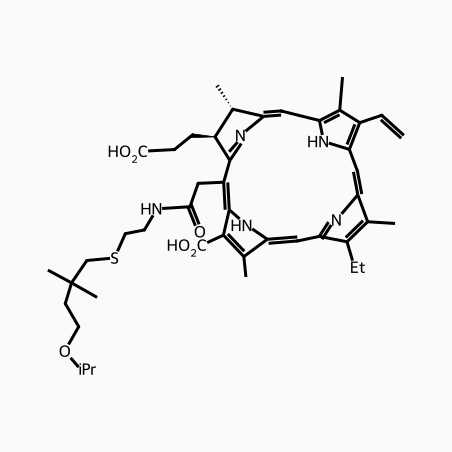 C=Cc1c(C)c2cc3nc(c(CC(=O)NCCSCC(C)(C)CCOC(C)C)c4[nH]c(cc5nc(cc1[nH]2)C(C)=C5CC)c(C)c4C(=O)O)[C@@H](CCC(=O)O)[C@@H]3C